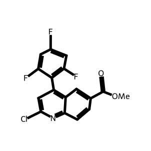 COC(=O)c1ccc2nc(Cl)cc(-c3c(F)cc(F)cc3F)c2c1